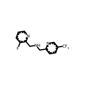 Fc1cccnc1CNCc1ccc(C(F)(F)F)cn1